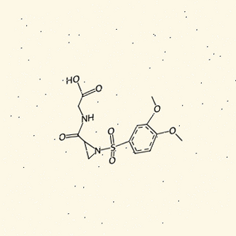 COc1ccc(S(=O)(=O)N2CC2C(=O)NCC(=O)O)cc1OC